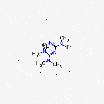 CC(C)/N=C(\N=C(N(C)C)N(C)C)N(C)C(C)C